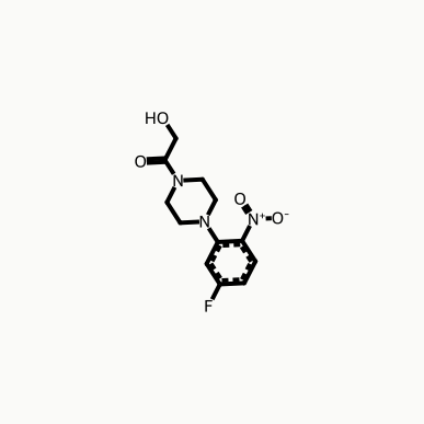 O=C(CO)N1CCN(c2cc(F)ccc2[N+](=O)[O-])CC1